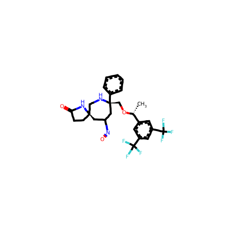 C[C@@H](OC[C@@]1(c2ccccc2)CC(N=O)C[C@]2(CCC(=O)N2)CN1)c1cc(C(F)(F)F)cc(C(F)(F)F)c1